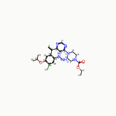 C=C(c1cc(N2CCN(C(=O)OCC)CC2)ncn1)c1cc(OC(C)C)c(F)cc1NN